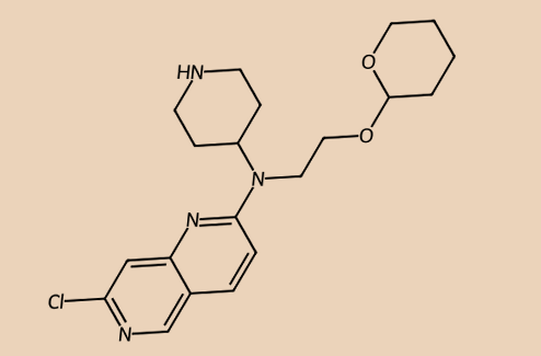 Clc1cc2nc(N(CCOC3CCCCO3)C3CCNCC3)ccc2cn1